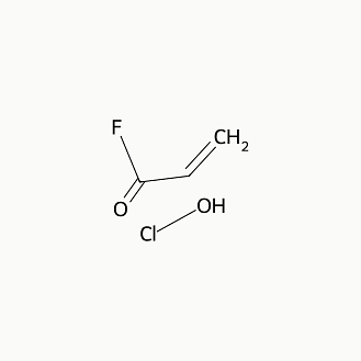 C=CC(=O)F.OCl